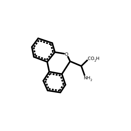 NC(C(=O)O)C1Oc2ccccc2-c2ccccc21